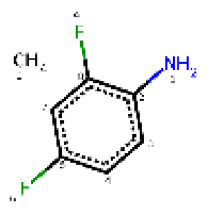 C.Nc1ccc(F)cc1F